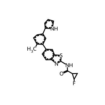 Cc1ccc(-c2ccc[nH]2)cc1-c1ccc2nc(NC(=O)C3CC3F)sc2c1